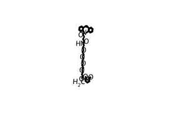 C=C1CCC(=O)N1OC(=O)CCOCCOCCOCCOCCNC(=O)CCC(=O)N1Cc2ccccc2C#Cc2ccccc21